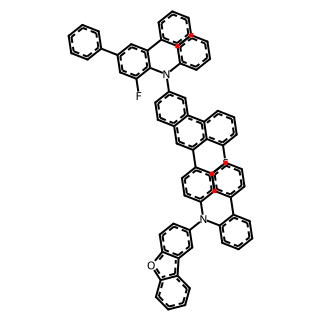 Fc1cc(-c2ccccc2)cc(-c2ccccc2)c1N(c1ccccc1)c1ccc2cc3c4c(cccc4c2c1)Sc1cc(N(c2ccc4oc5ccccc5c4c2)c2ccccc2-c2ccccc2)ccc1-3